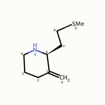 C=C1CCCN[C@H]1CCSC